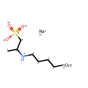 CCCCCCCCCCCCNC(C)CS(=O)(=O)[O-].[Na+]